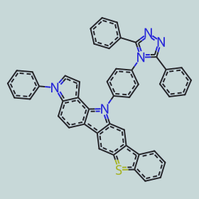 c1ccc(-c2nnc(-c3ccccc3)n2-c2ccc(-n3c4cc5c(cc4c4ccc6c(ccn6-c6ccccc6)c43)sc3ccccc35)cc2)cc1